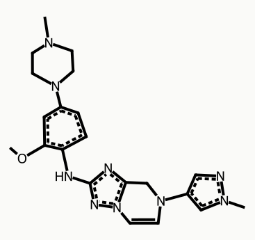 COc1cc(N2CCN(C)CC2)ccc1Nc1nc2n(n1)C=CN(c1cnn(C)c1)C2